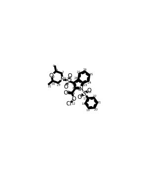 CC1CN(S(=O)(=O)c2c(C(=O)OCl)n(S(=O)(=O)c3ccccc3)c3ccccc23)CC(C)O1